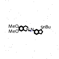 CCCCSC1CCc2ccc(/N=C/N3CCc4cc(OC)c(OC)cc4C3)cc21